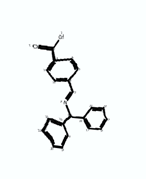 O=C(O)c1ccc(C=NC(c2ccccc2)c2ccccc2)cc1